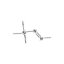 C/N=N/[Si](C)(C)C